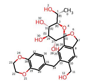 C[C@@H](O)[C@H]1O[C@]2(OCc3cc(CO)c(Cc4ccc5c(c4)OCCO5)cc32)[C@H](O)[C@@H](O)[C@@H]1O